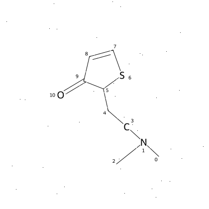 CN(C)CCC1SC=CC1=O